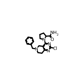 NC(=O)C1CCCN1c1nc(Cl)nc2c1CN(Cc1ccccc1)CC2